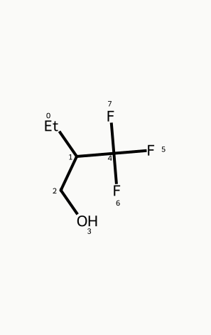 CCC(CO)C(F)(F)F